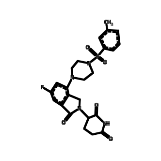 Cc1cccc(S(=O)(=O)N2CCN(c3cc(F)cc4c3CN(C3CCC(=O)NC3=O)C4=O)CC2)c1